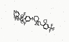 CN(C)[C@@]1(CCc2ccc(C(F)(F)F)cc2Cl)CCCN(c2cc(F)c(S(=O)(=O)Nc3ccncn3)c(F)c2)C1